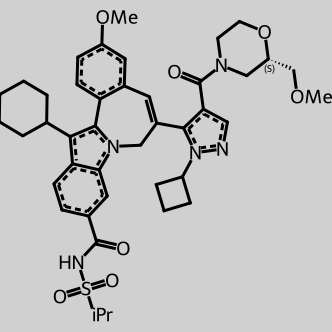 COC[C@@H]1CN(C(=O)c2cnn(C3CCC3)c2C2=Cc3cc(OC)ccc3-c3c(C4CCCCC4)c4ccc(C(=O)NS(=O)(=O)C(C)C)cc4n3C2)CCO1